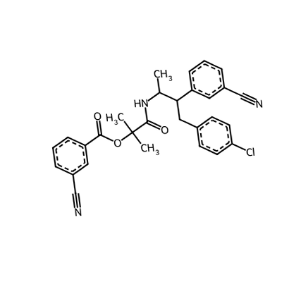 CC(NC(=O)C(C)(C)OC(=O)c1cccc(C#N)c1)C(Cc1ccc(Cl)cc1)c1cccc(C#N)c1